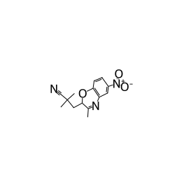 CC1=Nc2cc([N+](=O)[O-])ccc2OC1CC(C)(C)C#N